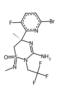 CN=S1(=O)C[C@@](C)(c2nc(Br)ccc2F)N=C(N)N1CC(F)(F)F